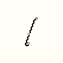 N#CCCCCCCCCOCCCCC1CCCO1